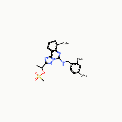 COc1ccc(CNc2nc3c(OC)cccc3c3nc(C(C)OS(C)(=O)=O)nn23)c(OC)c1